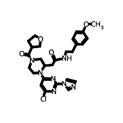 COc1ccc(CCNC(=O)CC2CN(C(=O)C3CCOC3)CCN2c2cc(Cl)nc(-n3ccnc3)n2)cc1